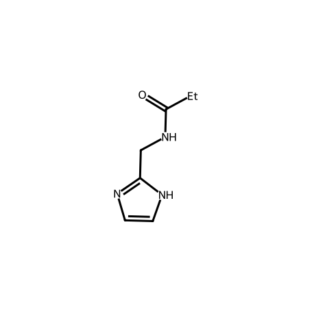 CCC(=O)NCc1ncc[nH]1